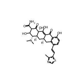 Cc1ncsc1/C=C/c1ccc(O)c2c1C[C@H]1C[C@H]3[C@H](N(C)C)C(O)C(C(N)=O)C(=O)[C@@]3(O)C(O)=C1C2=O